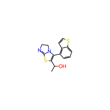 CC(O)C1=C(c2cccc3sccc23)N2CCN=C2S1